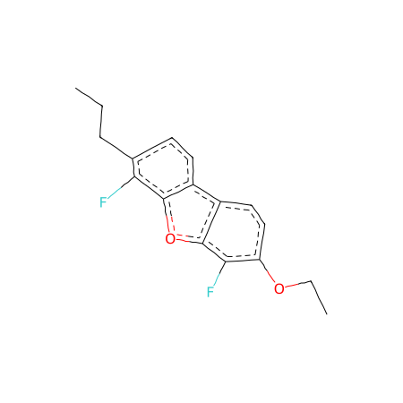 CCCc1ccc2c(oc3c(F)c(OCC)ccc32)c1F